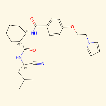 CC(C)C[C@@H](C#N)NC(=O)[C@@H]1CCCC[C@@H]1NC(=O)c1ccc(OCCn2cccc2)cc1